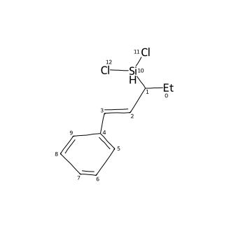 CCC(/C=C/c1ccccc1)[SiH](Cl)Cl